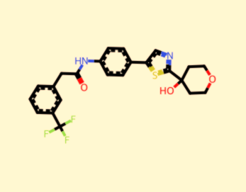 O=C(Cc1cccc(C(F)(F)F)c1)Nc1ccc(-c2cnc(C3(O)CCOCC3)s2)cc1